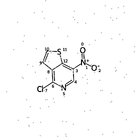 O=[N+]([O-])c1cnc(Cl)c2ccsc12